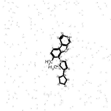 Cc1ccc2c(oc3cnccc32)c1N1C=CC(C2CCCC2)[C@@H]1C